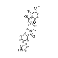 COc1ccc2c(c1F)C(=O)CC1(CCN(C(=O)c3cccc(-c4cc[nH]n4)c3)CC1)O2